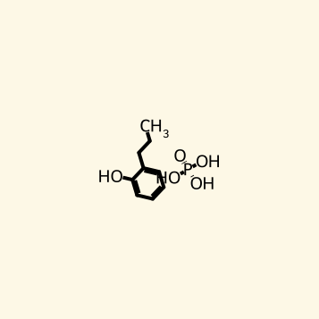 CCCc1ccccc1O.O=P(O)(O)O